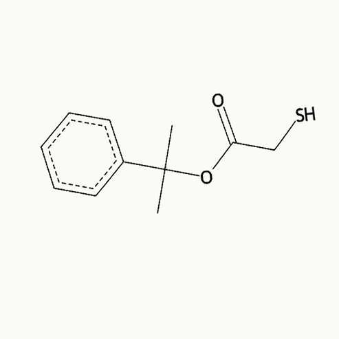 CC(C)(OC(=O)CS)c1ccccc1